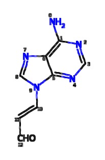 Nc1ncnc2c1ncn2C=CC=O